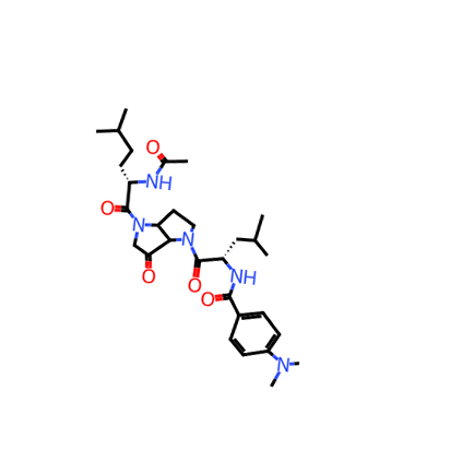 CC(=O)N[C@@H](CCC(C)C)C(=O)N1CC(=O)C2C1CCN2C(=O)[C@H](CC(C)C)NC(=O)c1ccc(N(C)C)cc1